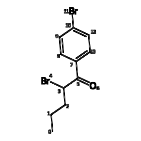 CCCC(Br)C(=O)c1ccc(Br)cc1